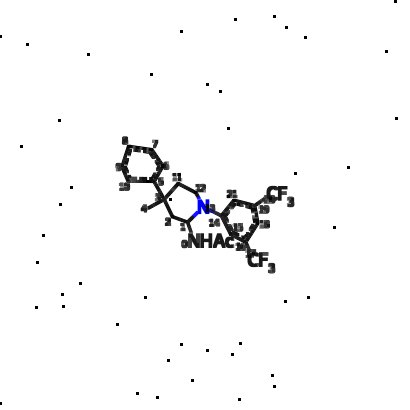 CC(=O)NC1CC(C)(c2ccccc2)CCN1c1cc(C(F)(F)F)cc(C(F)(F)F)c1